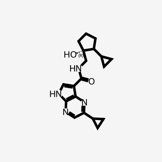 O=C(NC[C@@]1(O)CCCC1C1CC1)c1c[nH]c2ncc(C3CC3)nc12